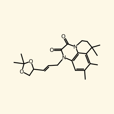 Cc1cc2c3c(c1C)C(C)(C)CCn3c(=O)c(=O)n2C/C=C/C1COC(C)(C)O1